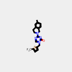 Cc1ccc2c(c1)CCN(c1ncn(Cc3ccc(C(F)(F)F)s3)c(=O)n1)C2